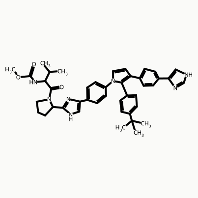 COC(=O)NC(C(=O)N1CCCC1c1nc(-c2ccc(-n3ccc(-c4ccc(-c5c[nH]cn5)cc4)c3-c3ccc(C(C)(C)C)cc3)cc2)c[nH]1)C(C)C